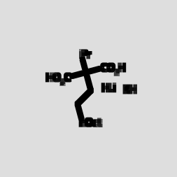 CCCCCCCCCCC(C(=O)O)(C(=O)O)C(C)C.[KH].[LiH]